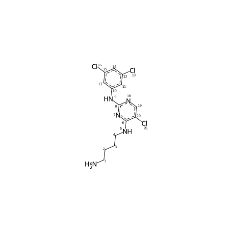 NCCCCNc1nc(Nc2cc(Cl)cc(Cl)c2)ncc1Cl